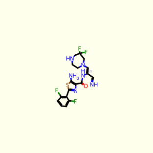 N=C/C(=C/N1CCNCC(F)(F)C1)NC(=O)c1nc(-c2c(F)cccc2F)sc1N